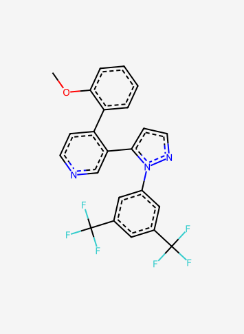 COc1ccccc1-c1ccncc1-c1ccnn1-c1cc(C(F)(F)F)cc(C(F)(F)F)c1